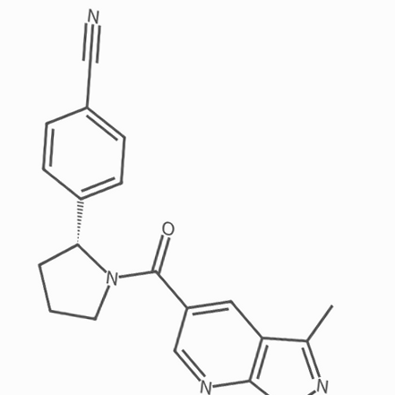 Cc1n[nH]c2ncc(C(=O)N3CCC[C@@H]3c3ccc(C#N)cc3)cc12